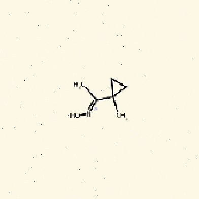 C/C(=N\O)C1(C)CC1